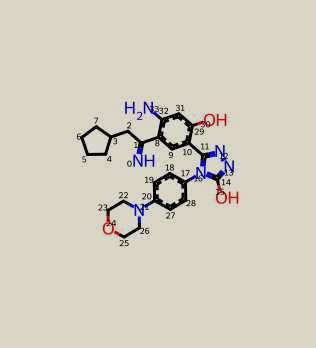 N=C(CC1CCCC1)c1cc(-c2nnc(O)n2-c2ccc(N3CCOCC3)cc2)c(O)cc1N